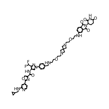 O=C1CCC(N2C(=O)c3ccc(NCCOCCN4CC5(CN(CCOCCNCc6ccc(-n7cc(NC(=O)c8coc(-c9ccnc(NCC%10CC%10)c9)n8)c(C(F)F)n7)cc6)C5)C4)cc3C2=O)C(=O)N1